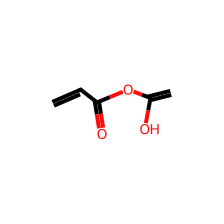 C=CC(=O)OC(=C)O